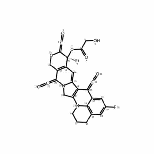 CC[C@@]1(OC(=O)CO)C(=C=O)OCC2=C1C=C1C3=C(CN1C2=C=O)N1CCCc2cc(F)cc(c21)C3=C=O